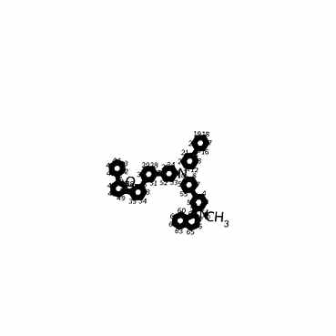 Cn1c2ccc(-c3ccc(N(c4ccc(-c5ccccc5)cc4)c4ccc(-c5cccc(-c6cccc7c6oc6c(-c8ccccc8)cccc67)c5)cc4)cc3)cc2c2c3ccccc3ccc21